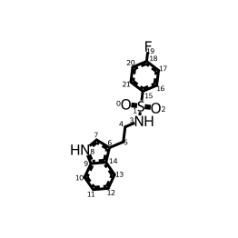 O=S(=O)(NCCc1c[nH]c2ccccc12)c1ccc(F)cc1